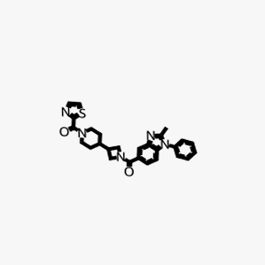 Cc1nc2cc(C(=O)N3CC(C4CCN(C(=O)c5nccs5)CC4)C3)ccc2n1-c1ccccc1